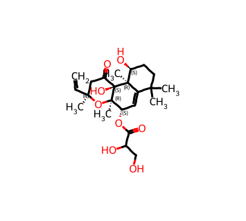 C=C[C@@]1(C)CC(=O)[C@@]2(O)[C@](C)(O1)[C@@H](OC(=O)C(O)CO)C=C1C(C)(C)CC[C@H](O)[C@@]12C